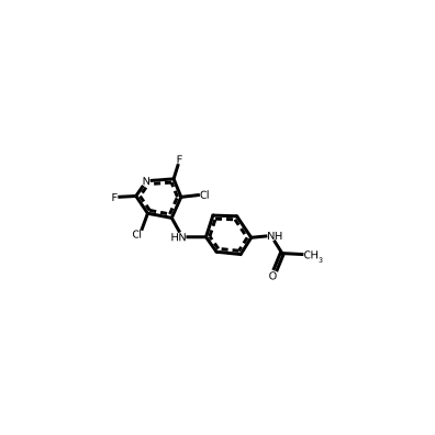 CC(=O)Nc1ccc(Nc2c(Cl)c(F)nc(F)c2Cl)cc1